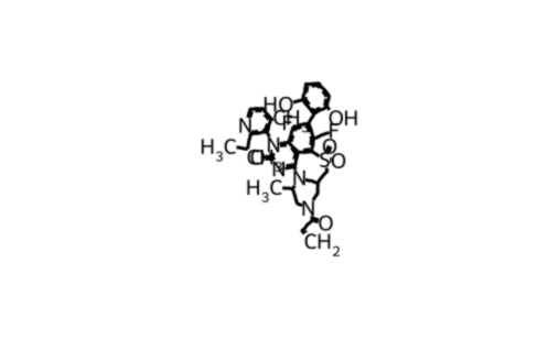 C=CC(=O)N1CC(C)N2c3nc(=O)n(-c4c(C)ccnc4C(C)C)c4c(F)c(-c5c(O)cccc5O)c(F)c(c34)S(=O)(=O)CC2C1